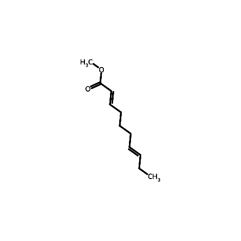 CCC=CCCCC=CC(=O)OC